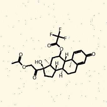 CC(=O)OCC(=O)[C@@]1(O)CC[C@H]2[C@@H]3CCC4=CC(=O)C=C[C@]4(C)[C@H]3C(OC(=O)C(F)(F)F)C[C@@]21C